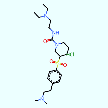 CCN(CC)CCNC(=O)N1CCCC(S(=O)(=O)c2ccc(CCN(C)C)cc2)C1.Cl